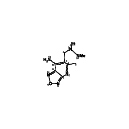 CCN(Cc1c(C)nc2nonc2c1N)NC